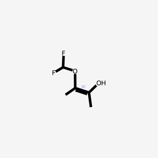 C/C(O)=C(\C)OC(F)F